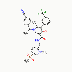 Cc1c(-c2cccc(C(F)(F)F)c2)c(=O)c(C(=O)NCc2ccc(S(C)(=O)=O)c[n+]2C)cn1C(C)c1ccc(C#N)cc1